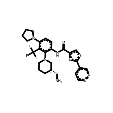 NC[C@@H]1CCCN(c2c(NC(=O)c3csc(-c4ccnnc4)n3)ccc(N3CCCC3)c2C(F)(F)F)C1